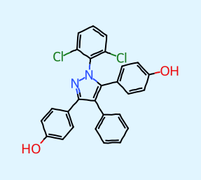 Oc1ccc(-c2nn(-c3c(Cl)cccc3Cl)c(-c3ccc(O)cc3)c2-c2ccccc2)cc1